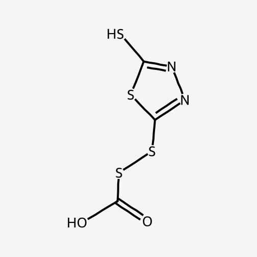 O=C(O)SSc1nnc(S)s1